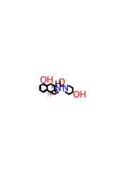 CC1(C)[C@H]2Cc3c(O)cccc3[C@]1(C)CCN2C(=O)N1CCC(O)CC1